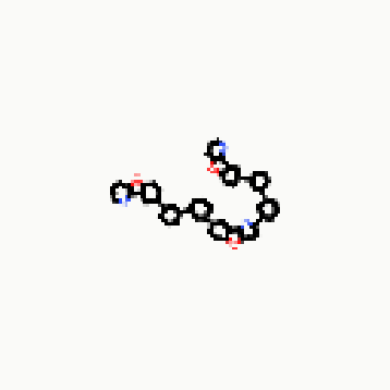 c1cc(-c2cccc(-c3ccc4oc5ccc(-c6cccc(-c7cccc(-c8ccc9oc%10cccnc%10c9c8)c7)c6)nc5c4c3)c2)cc(-c2ccc3oc4cccnc4c3c2)c1